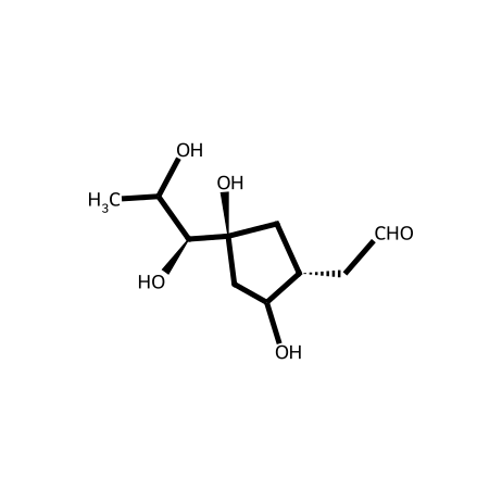 CC(O)[C@H](O)[C@@]1(O)CC(O)[C@@H](CC=O)C1